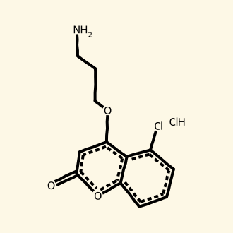 Cl.NCCCOc1cc(=O)oc2cccc(Cl)c12